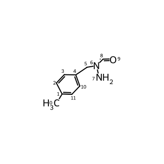 Cc1ccc(CN(N)[C]=O)cc1